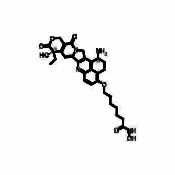 CC[C@@]1(O)C(=O)OCc2c1cc1n(c2=O)Cc2c-1nc1ccc(OCCCCCCC(=O)NO)c3c1c2[C@@H](N)CC3